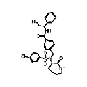 O=C(N[C@@H](CO)c1ccccc1)c1ccc(CN([C@@H]2CCCCNC2=O)S(=O)(=O)c2ccc(Cl)cc2)cc1